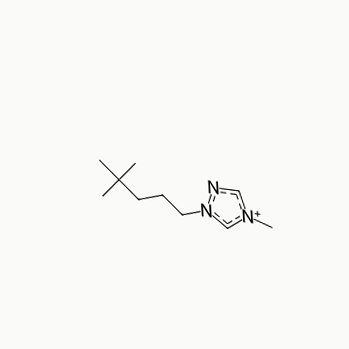 C[n+]1cnn(CCCC(C)(C)C)c1